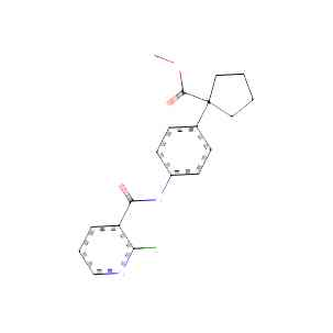 COC(=O)C1(c2ccc(NC(=O)c3cccnc3Cl)cc2)CCCC1